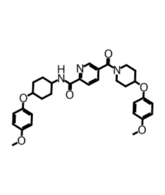 COc1ccc(OC2CCC(NC(=O)c3ccc(C(=O)N4CCC(Oc5ccc(OC)cc5)CC4)cn3)CC2)cc1